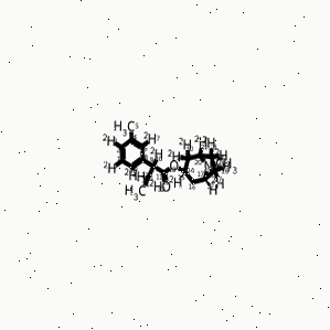 [2H]c1c([2H])c(C)c([2H])c(C([2H])(C(=O)O[C@]2([2H])C[C@@H]3N(C)C([2H])(C([2H])([2H])C3([2H])[2H])C2([2H])[2H])C([2H])([2H])C)c1[2H]